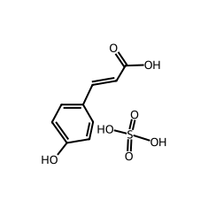 O=C(O)C=Cc1ccc(O)cc1.O=S(=O)(O)O